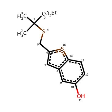 CCOC(=O)C(C)(C)SCc1cc2cc(O)ccc2s1